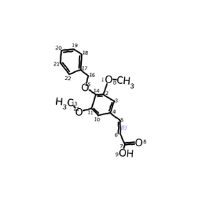 COc1cc(/C=C/C(=O)O)cc(OC)c1OCc1ccccc1